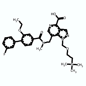 CCOc1cc(C(=O)N(C)Cc2cnc(C(=O)O)c3cnn(COCC[Si](C)(C)C)c23)ccc1-c1cccc(F)c1